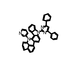 c1ccc(-c2cc(-c3ccccc3)nc(-n3c4ccccc4c4c5c(ccc43)-c3cccc4cccc(c34)N5c3cccnc3)n2)cc1